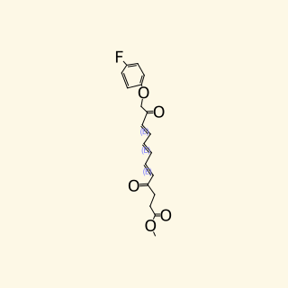 COC(=O)CCC(=O)/C=C/C=C/C=C/C(=O)COc1ccc(F)cc1